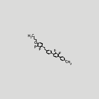 C=CCCOc1ccc(CCc2ccc(-c3ccc(-c4ccc(C)cc4)c(F)c3F)cc2)c(F)c1F